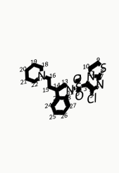 O=S(=O)(c1c(Cl)nc2sccn12)n1cc(CCN2CCCCC2)c2ccccc21